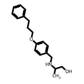 CC(CO)NCc1ccc(OCCCc2ccccc2)cc1